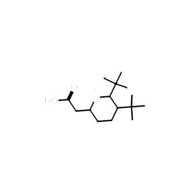 CC(C)(C)C1CCC(CC(=O)O)OC1C(C)(C)C